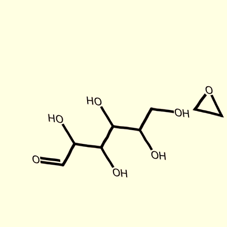 C1CO1.O=CC(O)C(O)C(O)C(O)CO